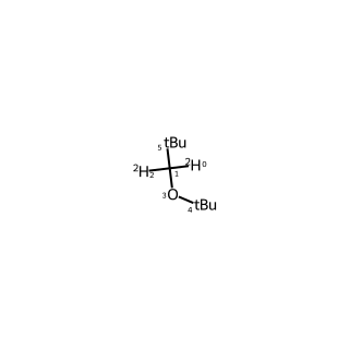 [2H]C([2H])(OC(C)(C)C)C(C)(C)C